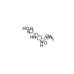 CCC1(CC)C(=O)Nc2cc3[nH]c(-c4cnc(O)nc4)cc3cc21